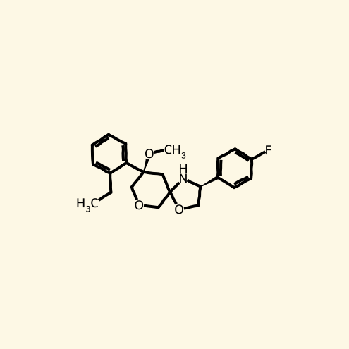 CCc1ccccc1[C@@]1(OC)COCC2(C1)N[C@@H](c1ccc(F)cc1)CO2